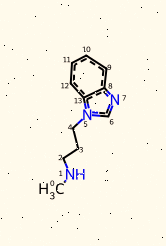 CNCCCn1cnc2ccccc21